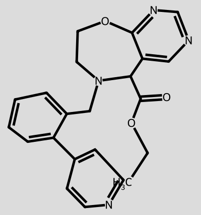 CCOC(=O)C1c2cncnc2OCCN1Cc1ccccc1-c1ccncc1